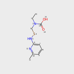 CCN(CSNc1cccc(C)n1)C(=O)O